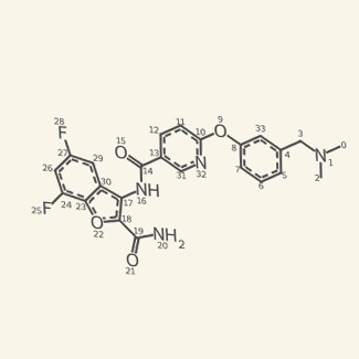 CN(C)Cc1cccc(Oc2ccc(C(=O)Nc3c(C(N)=O)oc4c(F)cc(F)cc34)cn2)c1